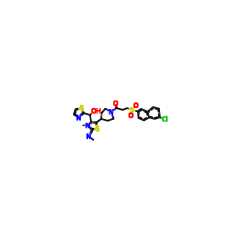 C/N=c1\sc(C2CCN(C(=O)CCS(=O)(=O)c3ccc4cc(Cl)ccc4c3)CC2)c(C(O)c2nccs2)n1C